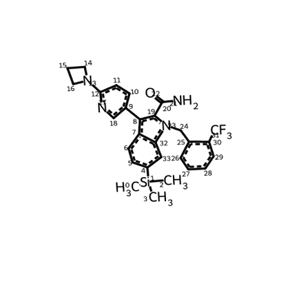 C[Si](C)(C)c1ccc2c(-c3ccc(N4CCC4)nc3)c(C(N)=O)n(Cc3ccccc3C(F)(F)F)c2c1